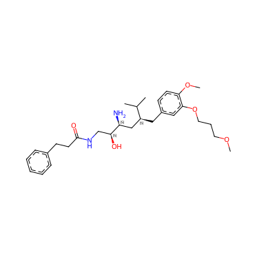 COCCCOc1cc(C[C@@H](C[C@H](N)[C@@H](O)CNC(=O)CCc2ccccc2)C(C)C)ccc1OC